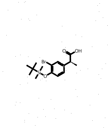 C[C@H](C(=O)O)c1ccc(O[Si](C)(C)C(C)(C)C)c(Br)c1